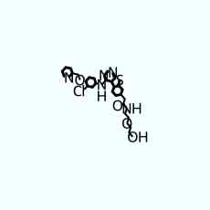 O=C(Cc1ccc2c(c1)sc1ncnc(Nc3ccc(OCc4ccccn4)c(Cl)c3)c12)NCCOCCO